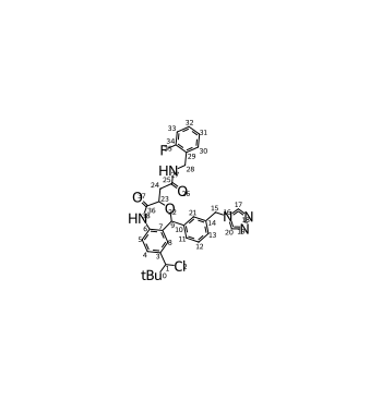 CC(C)(C)C(Cl)c1ccc2c(c1)C(c1cccc(Cn3cnnc3)c1)OC(CC(=O)NCc1ccccc1F)C(=O)N2